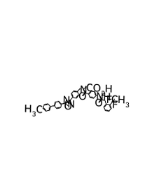 Cc1ccc(-c2ccc(-c3nc(-c4ccc(CN(CC(=O)O)C(=O)c5ccc(NC(=O)Cc6ccccc6C(C)(F)F)cc5)cc4)no3)cc2)cc1